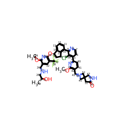 COc1nc(-c2ccnc(-c3cccc4c3CC[C@@H]4Oc3nc(OC)c(CNC[C@H](C)O)cc3C(F)(F)F)c2Cl)ccc1CN1CC2(CNC(=O)C2)C1